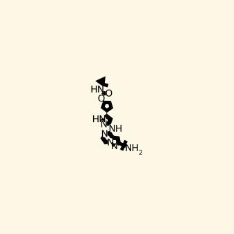 CC1(NC(=O)O[C@@H]2CC[C@H](c3cc(Nc4nccn5nc(C(C)(C)N)cc45)n[nH]3)C2)CC1